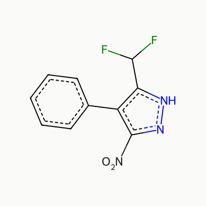 O=[N+]([O-])c1n[nH]c(C(F)F)c1-c1ccccc1